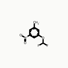 [CH2]c1cc(OC(F)F)cc([N+](=O)[O-])c1